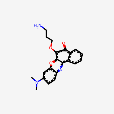 CN(C)c1ccc2nc3c4ccccc4c(=O)c(OCCCN)c-3oc2c1